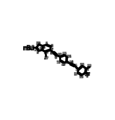 CCCCC1=Cc2c(ccc(C#Cc3ccc(C#Cc4ccc(F)c(C)c4)cc3)c2C)C1